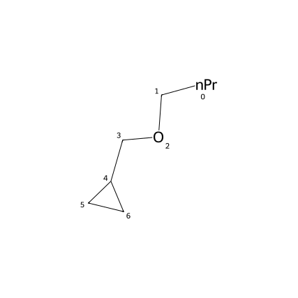 [CH2]CCCOCC1CC1